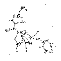 Bc1cnc(N(CC)CCN(C)S(=O)(=O)NC2(C(=O)O)CC2c2ccccc2)nc1